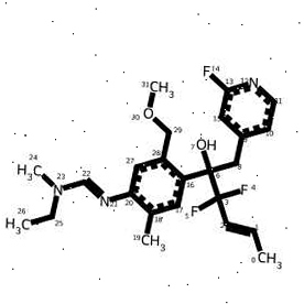 C/C=C/C(F)(F)C(O)(Cc1ccnc(F)c1)c1cc(C)c(/N=C/N(C)CC)cc1COC